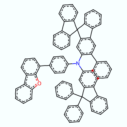 c1ccc(-c2cc3c(cc2N(c2ccc(-c4cccc5c4oc4ccccc45)cc2)c2ccc4c(c2)C(c2ccccc2)(c2ccccc2)c2ccccc2-4)C2(c4ccccc4-c4ccccc42)c2ccccc2-3)cc1